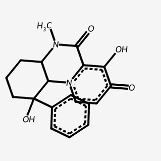 CN1C(=O)c2c(O)c(=O)ccn2C2C1CCCC2(O)c1ccccc1